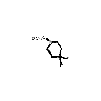 CCOC(=O)N1CCC(F)(F)CC1